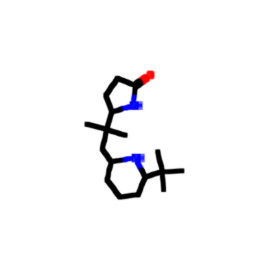 CC(C)(C)C1CCCC(CC(C)(C)C2CCC(=O)N2)N1